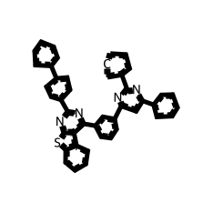 c1ccc(-c2ccc(-c3nc(-c4cccc(-c5cc(-c6ccccc6)nc(-c6ccccc6)n5)c4)c4c(n3)sc3ccccc34)cc2)cc1